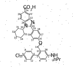 CCCNc1ccc(-c2ccc(Cl)cc2)c(COc2ccc(-c3nc4cc(C(=O)O)ccc4n3C3CCCCC3)cc2)c1